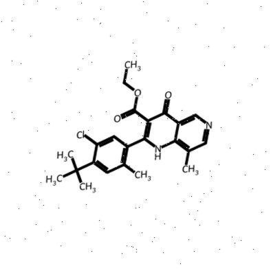 CCOC(=O)c1c(-c2cc(Cl)c(C(C)(C)C)cc2C)[nH]c2c(C)cncc2c1=O